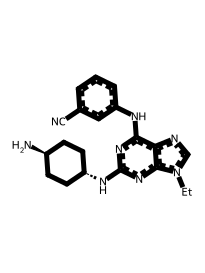 CCn1cnc2c(Nc3cccc(C#N)c3)nc(N[C@H]3CC[C@H](N)CC3)nc21